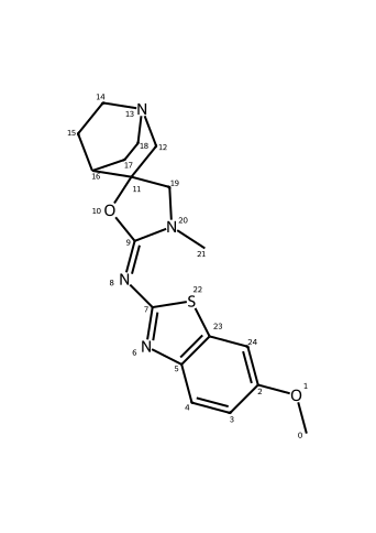 COc1ccc2nc(/N=C3/OC4(CN5CCC4CC5)CN3C)sc2c1